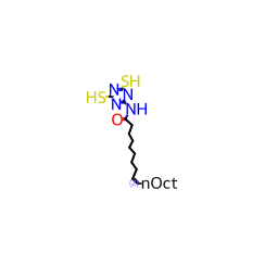 CCCCCCCC/C=C\CCCCCCCC(=O)Nc1nc(S)nc(S)n1